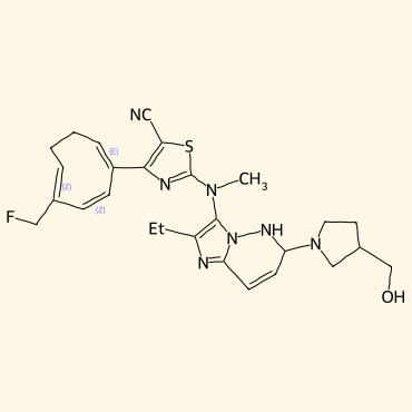 CCc1nc2n(c1N(C)c1nc(C3=C/CC/C=C(CF)/C=C\3)c(C#N)s1)NC(N1CCC(CO)C1)C=C2